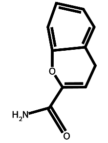 NC(=O)C1=CCc2ccccc2O1